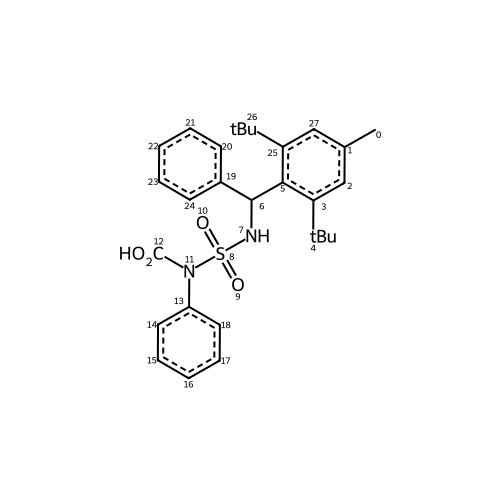 Cc1cc(C(C)(C)C)c(C(NS(=O)(=O)N(C(=O)O)c2ccccc2)c2ccccc2)c(C(C)(C)C)c1